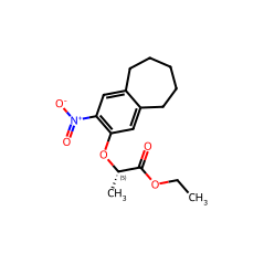 CCOC(=O)[C@H](C)Oc1cc2c(cc1[N+](=O)[O-])CCCCC2